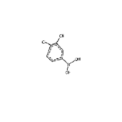 N#Cc1cc(B(O)O)ccc1Cl